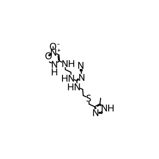 CNC(=C[N+](=O)[O-])NCCNC(=NC#N)NCCSCc1nc[nH]c1C